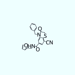 N#Cc1cc(C(=O)NCc2ccco2)cc2c1SCC(=O)N2Cc1ccccc1